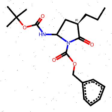 CCC[C@@H]1CC(NC(=O)OC(C)(C)C)N(C(=O)OCc2ccccc2)C1=O